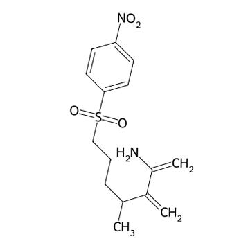 C=C(N)C(=C)C(C)CCCS(=O)(=O)c1ccc([N+](=O)[O-])cc1